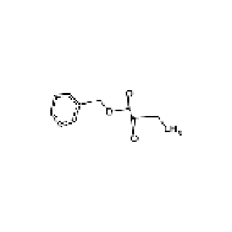 CCC(=O)C(=O)OCc1ccccc1